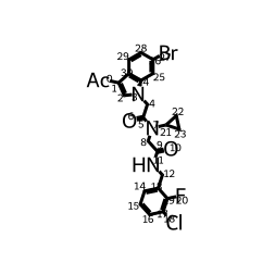 CC(=O)c1cn(CC(=O)N(CC(=O)NCc2cccc(Cl)c2F)C2CC2)c2cc(Br)ccc12